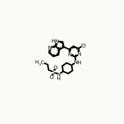 CCCS(=O)(=O)NC1CCC(Nc2nc(Cl)cc(-c3c[nH]c4ncccc34)n2)CC1